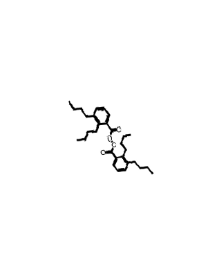 CCCCc1cccc(C(=O)OOC(=O)c2cccc(CCCC)c2CCCC)c1CCCC